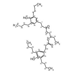 CCCCc1cc(CCC(=O)OCC(CC)OC(=O)CCc2cc(CCCC)c(O)c(CCCC)c2)cc(CCCC)c1O